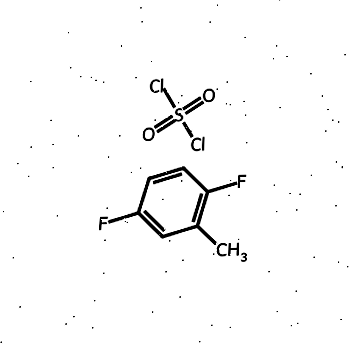 Cc1cc(F)ccc1F.O=S(=O)(Cl)Cl